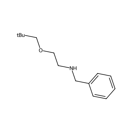 CC(C)(C)COCCNCc1ccccc1